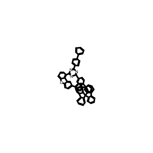 c1ccc(-c2ccc(-c3nc(-c4ccc(-c5ccccc5)cc4)nc(-c4cccc5oc6ccc(-c7ccc(-c8cccc9c8C8(c%10ccccc%10-c%10ccccc%108)c8ccccc8-9)cc7)cc6c45)n3)cc2)cc1